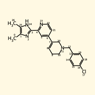 Cc1nc(-c2cc(C3=CCCN(Cc4ccc(Cl)cc4)C3)ccn2)[nH]c1C